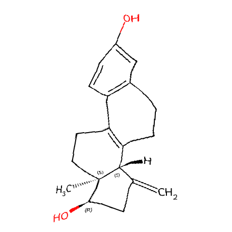 C=C1C[C@@H](O)[C@@]2(C)CCC3=C(CCc4cc(O)ccc43)[C@H]12